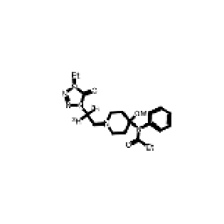 [2H]C([2H])(CN1CCC(OC)(N(C(=O)CC)c2ccccc2)CC1)n1nnn(CC)c1=O